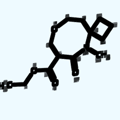 CCOC(=O)C1COCCC2(CCC2)N(C)C1=O